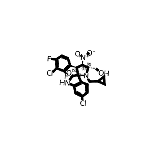 O=C1Nc2cc(Cl)ccc2[C@@]12[C@@H](c1ccc(F)c(Cl)c1F)[C@H]([N+](=O)[O-])[C@H](CO)N2CC1CC1